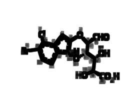 O=C[C@H](Oc1cc2c(Cl)c(Br)ccc2[nH]1)[C@@H](O)[C@H](O)[C@H](O)C(=O)O